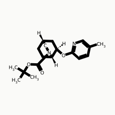 Cc1ccc(O[C@@H]2C[C@H]3CC[C@@H]2N(C(=O)OC(C)(C)C)C3)nc1